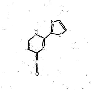 O=C=C1C=CNC(c2nccs2)=N1